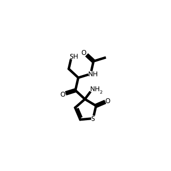 CC(=O)NC(CS)C(=O)C1(N)C=CSC1=O